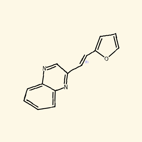 C(=C\c1ccco1)/c1cnc2ccccc2n1